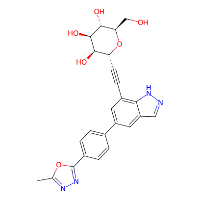 Cc1nnc(-c2ccc(-c3cc(C#C[C@H]4O[C@H](CO)[C@@H](O)[C@H](O)[C@@H]4O)c4[nH]ncc4c3)cc2)o1